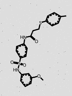 COc1cccc(NS(=O)(=O)c2ccc(NC(=O)CCSc3ccc(C)cc3)cc2)c1